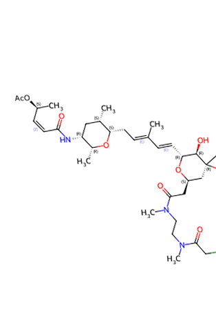 CC(=O)O[C@@H](C)/C=C\C(=O)N[C@@H]1C[C@H](C)[C@H](C/C=C(C)/C=C/[C@H]2O[C@H](CC(=O)N(C)CCN(C)C(=O)CBr)C[C@@]3(CO3)[C@@H]2O)O[C@@H]1C